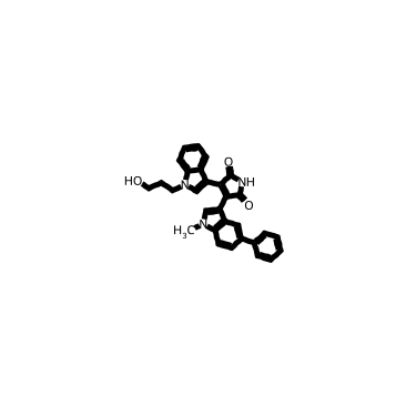 Cn1cc(C2=C(c3cn(CCCO)c4ccccc34)C(=O)NC2=O)c2cc(-c3ccccc3)ccc21